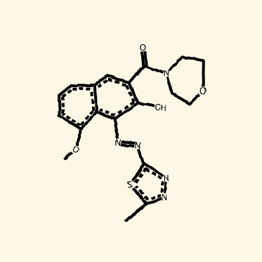 COc1cccc2cc(C(=O)N3CCOCC3)c(O)c(/N=N/c3nnc(C)s3)c12